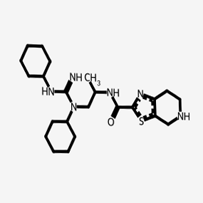 CC(CN(C(=N)NC1CCCCC1)C1CCCCC1)NC(=O)c1nc2c(s1)CNCC2